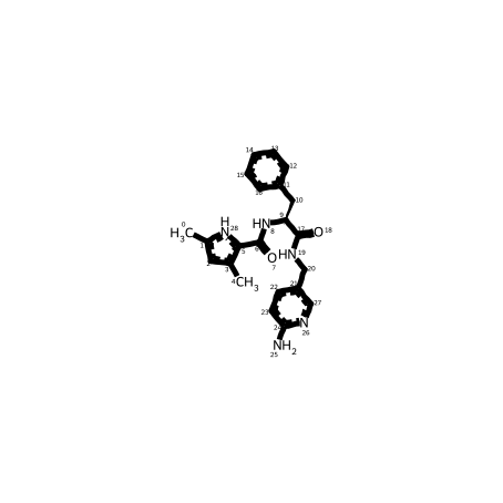 Cc1cc(C)c(C(=O)N[C@@H](Cc2ccccc2)C(=O)NCc2ccc(N)nc2)[nH]1